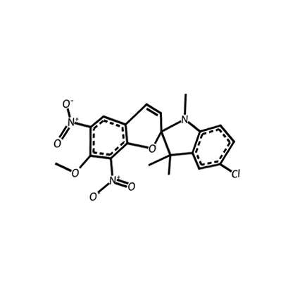 COc1c([N+](=O)[O-])cc2c(c1[N+](=O)[O-])OC1(C=C2)N(C)c2ccc(Cl)cc2C1(C)C